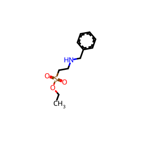 CCOS(=O)(=O)CCNCc1ccccc1